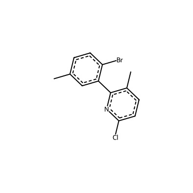 Cc1ccc(Br)c(-c2nc(Cl)ccc2C)c1